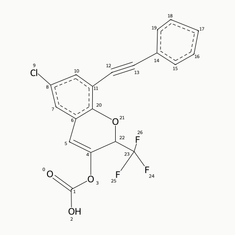 O=C(O)OC1=Cc2cc(Cl)cc(C#Cc3ccccc3)c2OC1C(F)(F)F